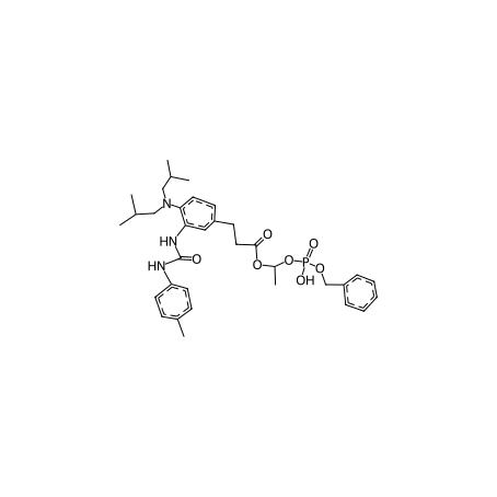 Cc1ccc(NC(=O)Nc2cc(CCC(=O)OC(C)OP(=O)(O)OCc3ccccc3)ccc2N(CC(C)C)CC(C)C)cc1